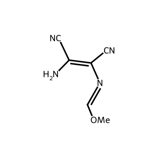 COC=NC(C#N)=C(N)C#N